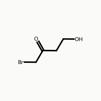 O=C(CBr)CCO